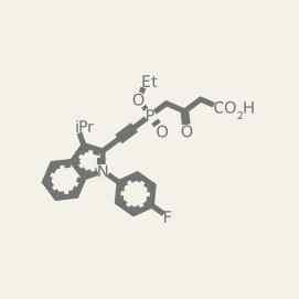 CCOP(=O)(C#Cc1c(C(C)C)c2ccccc2n1-c1ccc(F)cc1)CC(=O)CC(=O)O